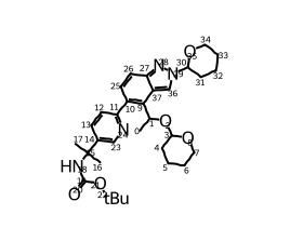 CC(OC1CCCCO1)c1c(-c2ccc(C(C)(C)NC(=O)OC(C)(C)C)cn2)ccc2nn(C3CCCCO3)cc12